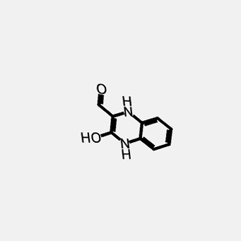 O=CC1=C(O)Nc2ccccc2N1